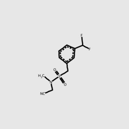 CN(CC#N)S(=O)(=O)Cc1cccc(C(F)F)c1